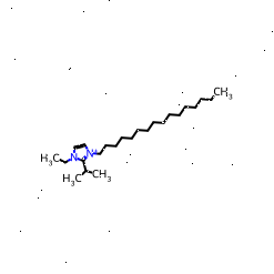 CCCCCCCCCCCCCCCC[n+]1ccn(CC)c1C(C)C